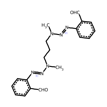 CN(CCCN(C)/N=N/c1ccccc1C=O)/N=N/c1ccccc1C=O